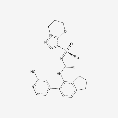 N#Cc1cc(-c2ccc3c(c2NC(=O)N=[S@@](N)(=O)c2cnn4c2OCCC4)CCC3)ccn1